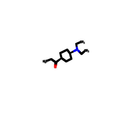 CCC(=O)[C@H]1CC[C@@H](N(CC)CC)CC1